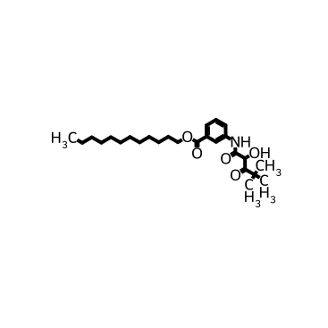 CCCCCCCCCCCCOC(=O)c1cccc(NC(=O)C(O)C(=O)C(C)(C)C)c1